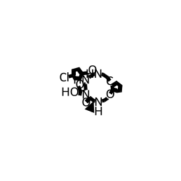 CN1C(=O)[C@H](C2CC2)NCCOc2ccccc2CCCNC(=O)[C@@H](Cc2ccc(Cl)cc2)NC(=O)[C@@H]1C(C)(C)O